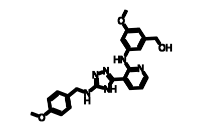 COc1ccc(CNc2nnc(-c3cccnc3Nc3cc(CO)cc(OC)c3)[nH]2)cc1